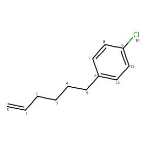 C=CCCCCc1ccc(Cl)cc1